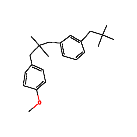 COc1ccc(CC(C)(C)Cc2cccc(CC(C)(C)C)c2)cc1